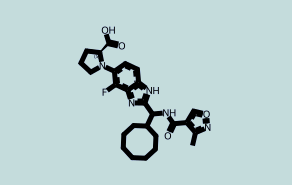 Cc1nocc1C(=O)NC(c1nc2c(F)c(N3CCC[C@H]3C(=O)O)ccc2[nH]1)C1CCCCCCC1